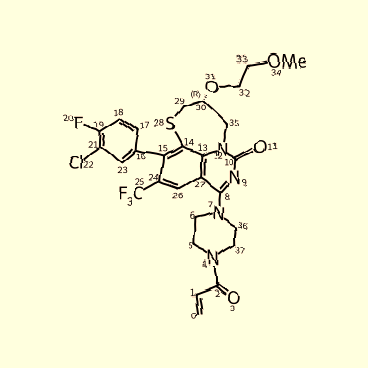 C=CC(=O)N1CCN(c2nc(=O)n3c4c(c(-c5ccc(F)c(Cl)c5)c(C(F)(F)F)cc24)SC[C@H](OCCOC)C3)CC1